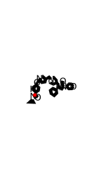 O=C(NC1CC1)c1ccc(Oc2ccc(CN3CCC(N4C(=O)N(C5CCOCC5)C[C@H]4c4ccccc4)CC3)cn2)cc1